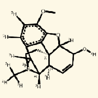 [2H]OC1C=C[C@]2([2H])[C@@]34CCN(C([2H])([2H])[2H])[C@]2([2H])C([2H])([2H])c2c([2H])c([2H])c(OC)c(c23)OC14[2H]